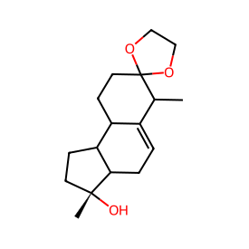 CC1C2=CCC3C(CC[C@@]3(C)O)C2CCC12OCCO2